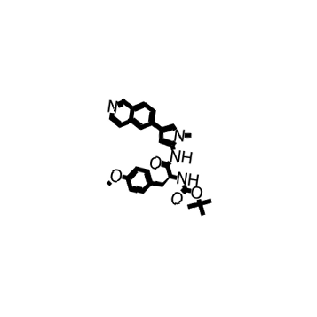 COc1ccc(C[C@H](NC(=O)OC(C)(C)C)C(=O)Nc2cc(-c3ccc4cnccc4c3)cn2C)cc1